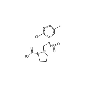 O=C(O)N1CCC[C@@H]1CN(c1cc(Cl)cnc1Cl)[SH](=O)=O